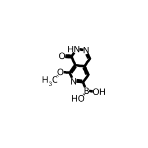 COc1nc(B(O)O)cc2cn[nH]c(=O)c12